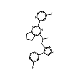 CN(Cc1nncn1-c1cccc(F)c1)c1nc(-c2cc(F)ccn2)nc2c1CCC2